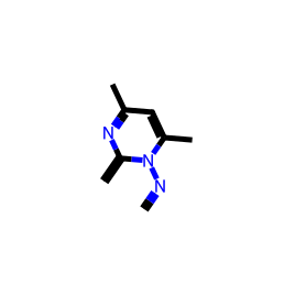 C=NN1C(=C)N=C(C)C=C1C